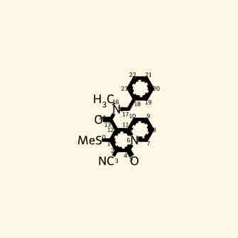 CSc1c(C#N)c(=O)n2ccccc2c1C(=O)N(C)Cc1ccccc1